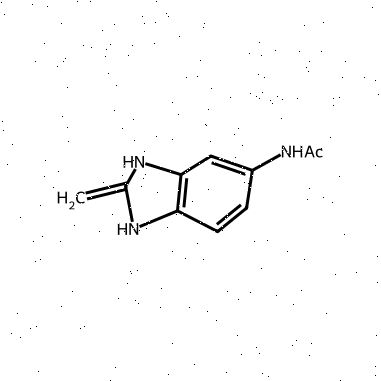 C=C1Nc2ccc(NC(C)=O)cc2N1